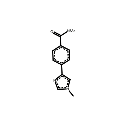 CNC(=O)c1ccc(-c2cn(C)cn2)cc1